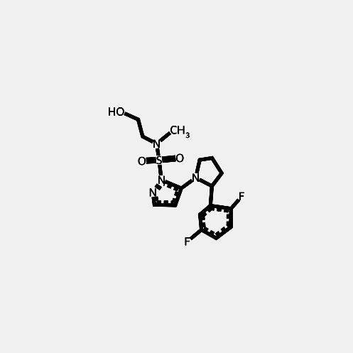 CN(CCO)S(=O)(=O)n1nccc1N1CCCC1c1cc(F)ccc1F